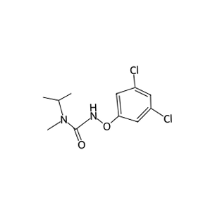 CC(C)N(C)C(=O)NOc1cc(Cl)cc(Cl)c1